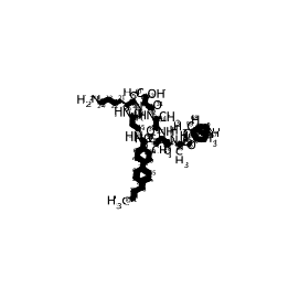 CCCCc1ccc(-c2ccc(C(=O)NCCC(=O)N[C@@H](CCCCN)C(=O)N[C@H](C(=O)N[C@@H](C)C(=O)NC(C(=O)N[C@@H](C)B3OC4C[C@@H]5C[C@@H](C5(C)C)[C@]4(C)O3)C(C)C)[C@@H](C)O)cc2)cc1